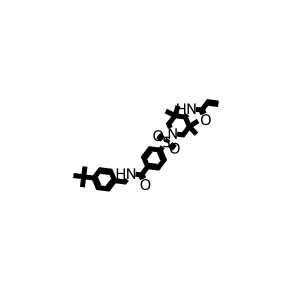 C=CC(=O)NC1C(C)(C)CN(S(=O)(=O)c2ccc(C(=O)NCc3ccc(C(C)(C)C)cc3)cc2)CC1(C)C